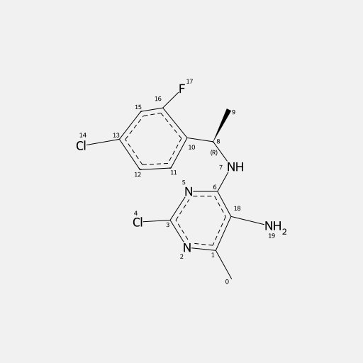 Cc1nc(Cl)nc(N[C@H](C)c2ccc(Cl)cc2F)c1N